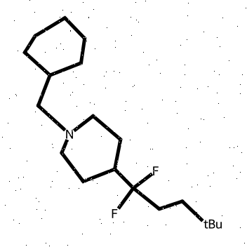 CC(C)(C)CCC(F)(F)C1CCN(CC2CCCCC2)CC1